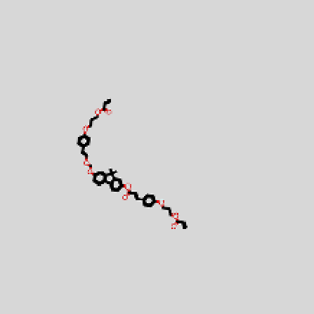 C=CC(=O)OCCCOc1ccc(C=COCOc2ccc3c(c2)C(C)(C)c2cc(OC(=O)C=Cc4ccc(OCCCOC(=O)C=C)cc4)ccc2-3)cc1